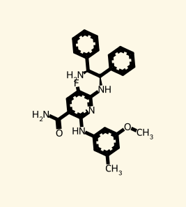 COc1cc(C)cc(Nc2nc(N[C@H](c3ccccc3)[C@@H](N)c3ccccc3)c(F)cc2C(N)=O)c1